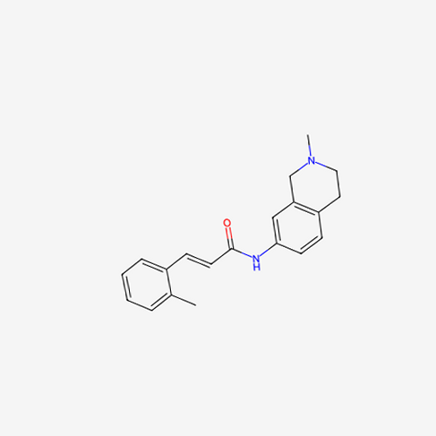 Cc1ccccc1/C=C/C(=O)Nc1ccc2c(c1)CN(C)CC2